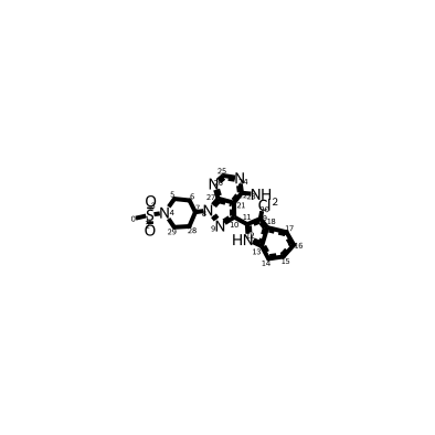 CS(=O)(=O)N1CCC(n2nc(-c3[nH]c4ccccc4c3Cl)c3c(N)ncnc32)CC1